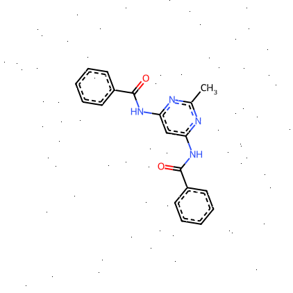 Cc1nc(NC(=O)c2ccccc2)cc(NC(=O)c2ccccc2)n1